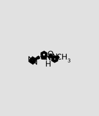 Cc1cccc(C(=O)N[C@]23CCC[C@](C#Cc4cnccn4)(CC2)C3)n1